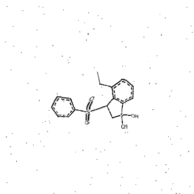 CCc1cccc2c1C(S(=O)(=O)c1ccccc1)CS2(O)O